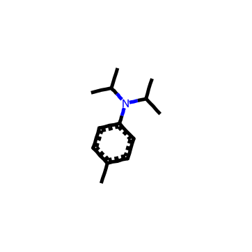 Cc1ccc(N(C(C)C)C(C)C)cc1